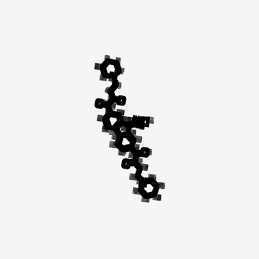 Cl.Cl.O=C(CCN1CCCCC1)C(=O)c1ccc2c(c1)C(=O)c1cc(C(=O)C(=O)CCN3CCCCC3)ccc1-2